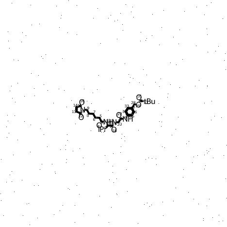 CC(C)C(NC(=O)CCCCCN1C(=O)C=CC1=O)C(=O)NCC(=O)Nc1ccc(COC(=O)C(C)(C)C)cc1